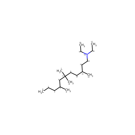 CCCC(C)CC(C)(C)CCC(C)CCN(CC)CC